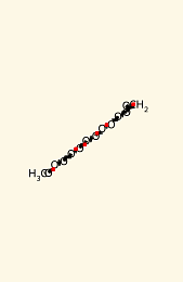 C=CC(=O)OCCOCCOCCOCCOCCOCCOCCOCCOCCOCCOC